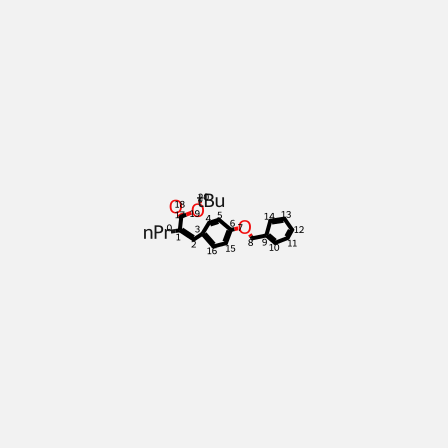 CCCC(=Cc1ccc(OCc2ccccc2)cc1)C(=O)OC(C)(C)C